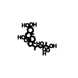 CC(CCC(O)(O)C(C)C(=O)O)C1CCC2C3C(CC[C@]12C)[C@@]1(C)CCC(O)(O)CC1=CC3(O)O